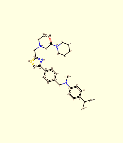 CCCC(CCC)c1ccc(N(Cc2ccc(-c3csc(CN(CC(=O)O)CC(=O)N4CCCCC4)n3)cc2)C(C)C)cc1